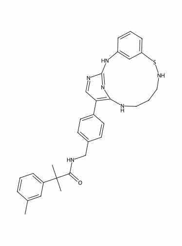 Cc1cccc(C(C)(C)C(=O)NCc2ccc(-c3cnc4nc3NCCCNSc3cccc(c3)N4)cc2)c1